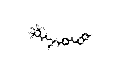 CC1(C)CC(NC(=O)CC[C@H](NC(=O)c2ccc(NCc3cnc4nc(N)ncc4n3)cc2)OC=O)CC(C)(C)N1O